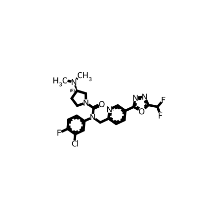 CN(C)[C@@H]1CCN(C(=O)N(Cc2ccc(-c3nnc(C(F)F)o3)cn2)c2ccc(F)c(Cl)c2)C1